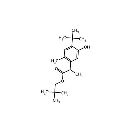 Cc1cc(C(C)(C)C)c(O)cc1C(C)C(=O)OCC(C)(C)C